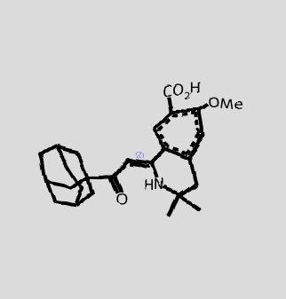 COc1cc2c(cc1C(=O)O)/C(=C/C(=O)C13CC4CC(CC(C4)C1)C3)NC(C)(C)C2